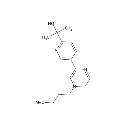 COCCCN1C=C(c2ccc(C(C)(C)O)nc2)N=CC1